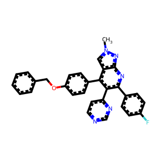 Cn1cc2c(-c3ccc(OCc4ccccc4)cc3)c(-c3ccncn3)c(-c3ccc(F)cc3)nc2n1